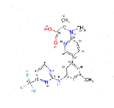 Cc1cc(Nc2nccc(C(F)(F)F)n2)cc(-c2ccc(N(C)[C@@H](C)C(=O)O)nc2)c1